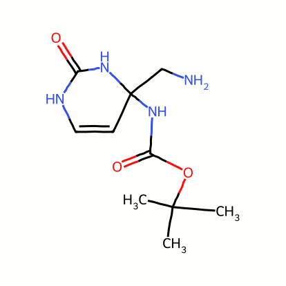 CC(C)(C)OC(=O)NC1(CN)C=CNC(=O)N1